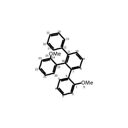 COc1ccccc1-c1cccc(-c2ccccc2)c1-c1ccccc1OC